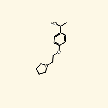 CC(O)c1ccc(OCCN2CCCC2)cc1